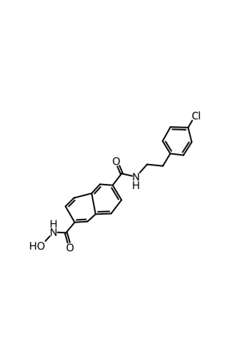 O=C(NO)c1ccc2cc(C(=O)NCCc3ccc(Cl)cc3)ccc2c1